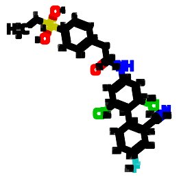 CCS(=O)(=O)c1ccc(CC(=O)Nc2cc(Cl)c(-c3ccc(F)cc3C#N)c(Cl)c2)cc1